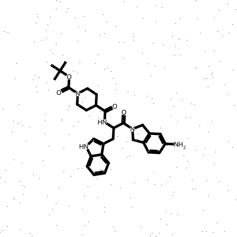 CC(C)(C)OC(=O)N1CCC(C(=O)NC(Cc2c[nH]c3ccccc23)C(=O)N2Cc3ccc(N)cc3C2)CC1